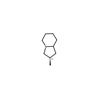 C[C@@H]1CC2CCCCN2C1